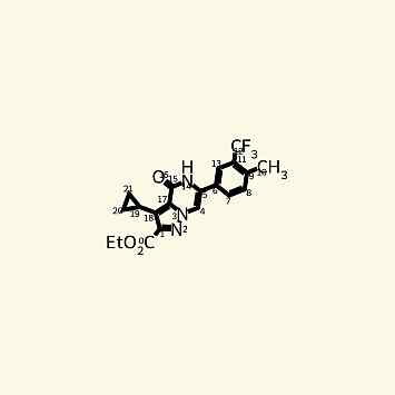 CCOC(=O)c1nn2cc(-c3ccc(C)c(C(F)(F)F)c3)[nH]c(=O)c2c1C1CC1